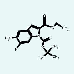 CCOC(=O)c1cc2cc(C)c(F)cc2n1C(=O)OC(C)(C)C